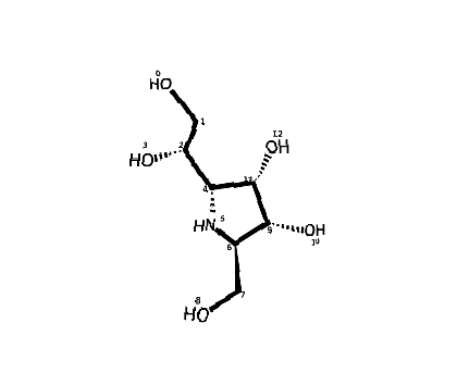 OC[C@@H](O)[C@H]1N[C@H](CO)[C@@H](O)[C@H]1O